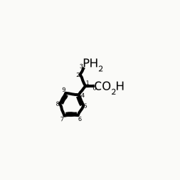 O=C(O)C(CP)c1ccccc1